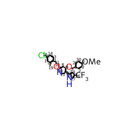 COc1ccc(COc2cc(OCc3ccc(Cl)cc3C)ncc2-c2cc(C(F)(F)F)c[nH]2)cc1